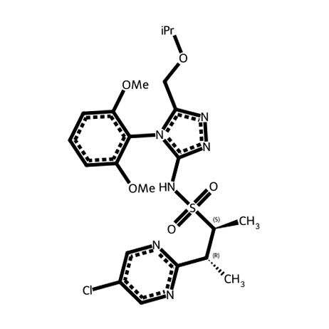 COc1cccc(OC)c1-n1c(COC(C)C)nnc1NS(=O)(=O)[C@@H](C)[C@H](C)c1ncc(Cl)cn1